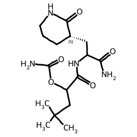 CC(C)(C)CC(OC(N)=O)C(=O)NC(C[C@@H]1CCCNC1=O)C(N)=O